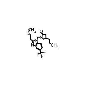 CCCC1CC(=O)N(Cn2c(CCSC)nc3cc(C(F)(F)F)ccc32)C1